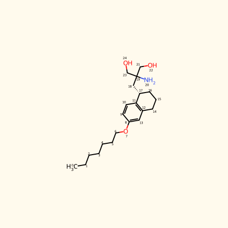 CCCCCCCOc1ccc2c(c1)CCC[C@H]2CC(N)(CO)CO